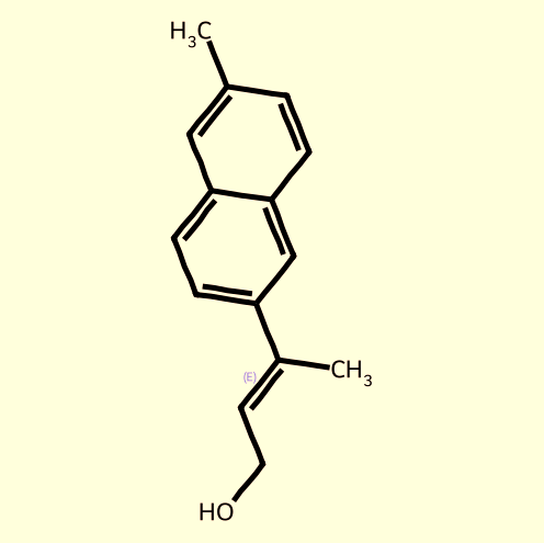 C/C(=C\CO)c1ccc2cc(C)ccc2c1